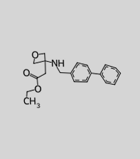 CCOC(=O)CC1(NCc2ccc(-c3ccccc3)cc2)COC1